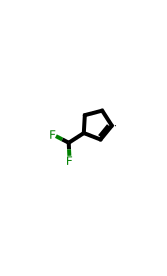 FC(F)C1C=[C]CC1